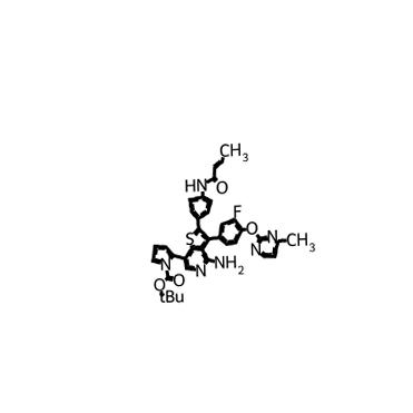 CC=CC(=O)Nc1ccc(-c2sc3c(-c4cccn4C(=O)OC(C)(C)C)cnc(N)c3c2-c2ccc(Oc3nccc(C)n3)c(F)c2)cc1